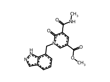 CNC(=O)c1cc(C(=O)OC)cn(Cc2cccc3cn[nH]c23)c1=O